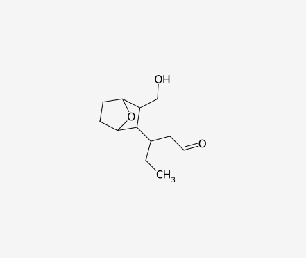 CCC(CC=O)C1C2CCC(O2)C1CO